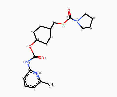 Cc1cccc(NC(=O)OC2CCC(COC(=O)N3CCCC3)CC2)n1